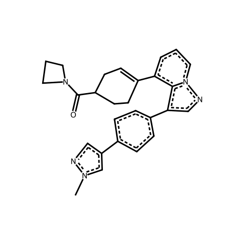 Cn1cc(-c2ccc(-c3cnn4cccc(C5=CCC(C(=O)N6CCC6)CC5)c34)cc2)cn1